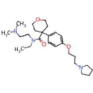 CCN(CCN(C)C)C(=O)C1(c2ccc(OCCCN3CCCC3)cc2)CCOCC1